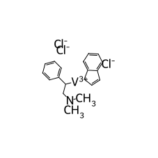 CN(C)C[CH]([V+3][CH]1C=Cc2ccccc21)c1ccccc1.[Cl-].[Cl-].[Cl-]